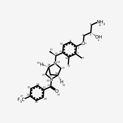 Cc1c(OC[C@@H](O)CN)ccc([C@H](C)N2C[C@@H]3C[C@H]2CN3C(=O)c2ccc(C(F)(F)F)cc2)c1C